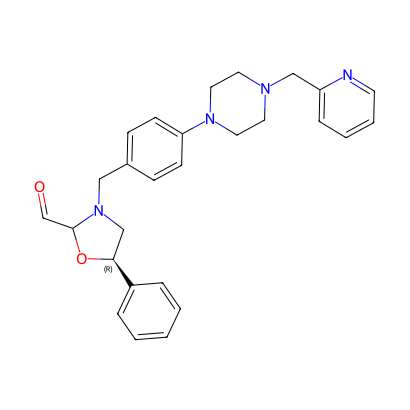 O=CC1O[C@H](c2ccccc2)CN1Cc1ccc(N2CCN(Cc3ccccn3)CC2)cc1